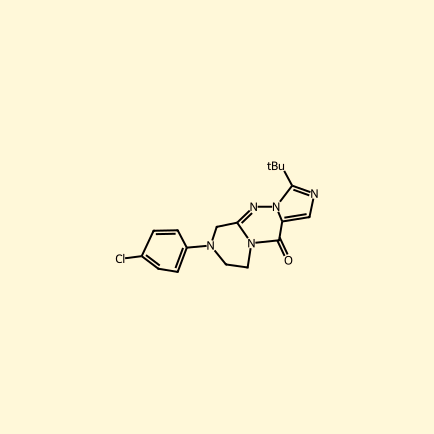 CC(C)(C)c1ncc2c(=O)n3c(nn12)CN(c1ccc(Cl)cc1)CC3